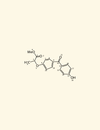 COC(=O)C(C)Oc1ccc(C(=O)c2ccc(O)cc2)cc1